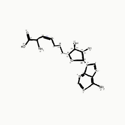 Nc1ncnc2c1ncn2[C@@H]1O[C@H](CNC/C=C\C(N)C(=O)O)[C@@H](O)[C@H]1O